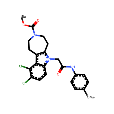 COc1ccc(NC(=O)Cn2c3c(c4c(Cl)c(Cl)ccc42)CCN(C(=O)OC(C)(C)C)CC3)cc1